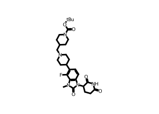 Cn1c(=O)n(C2CCC(=O)NC2=O)c2ccc(C3CCN(CC4CCN(C(=O)OC(C)(C)C)CC4)CC3)c(F)c21